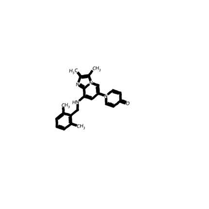 Cc1cccc(C)c1CNc1cc(-n2ccc(=O)cc2)cn2c(C)c(C)nc12